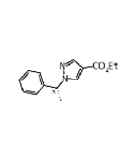 CCOC(=O)c1cnn([C@H](C)c2ccccc2)c1